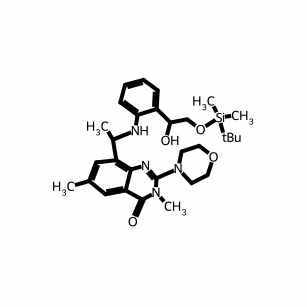 Cc1cc(C(C)Nc2ccccc2C(O)CO[Si](C)(C)C(C)(C)C)c2nc(N3CCOCC3)n(C)c(=O)c2c1